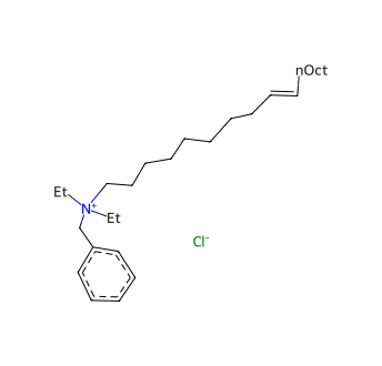 CCCCCCCCC=CCCCCCCCC[N+](CC)(CC)Cc1ccccc1.[Cl-]